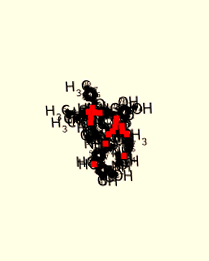 CN[C@H](CC(C)C)C(=O)N[C@H]1C(=O)N[C@@H](CC(N)=O)C(=O)NC2C(=O)N[C@H]3C(=O)N[C@H](C(=O)N[C@@H](C(=O)O)c4cc(O)cc(O)c4-c4cc3ccc4O)[C@H](O)c3ccc(c(Cl)c3)Oc3cc2cc(c3OC2O[C@H](CO)[C@@H](O)[C@H](O)[C@H]2O[C@H]2C[C@](C)(NCCn3ccc(NC(=O)C4CCC(C)CC4)nc3=O)[C@H](O)[C@H](C)O2)Oc2ccc(cc2Cl)[C@H]1O